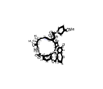 COC1CCN(C(=O)C[C@]2(OC)/C=C/C[C@H](C)[C@@H](C)C(=O)NS(=O)(=O)c3ccc4c(c3)N(C[C@@H]3CC[C@H]32)C[C@@]2(CCCc3cc(Cl)ccc32)CO4)C1